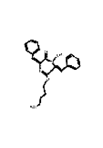 CC(=O)OCCCCOc1nc(=Cc2ccccc2)c(=O)n(C)c1=Cc1ccccc1